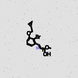 CON(O)/C=C/c1cccc(OCC2CC2)c1Br